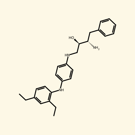 CCc1ccc(Nc2ccc(NC[C@@H](O)[C@@H](N)Cc3ccccc3)cc2)c(CC)c1